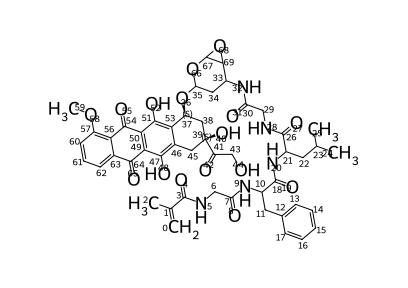 C=C(C)C(=O)NCC(=O)NC(Cc1ccccc1)C(=O)NC(CC(C)C)C(=O)NCC(=O)NC1CC(O[C@H]2C[C@](O)(C(=O)CO)Cc3c(O)c4c(c(O)c32)C(=O)c2c(OC)cccc2C4=O)OC2OC12